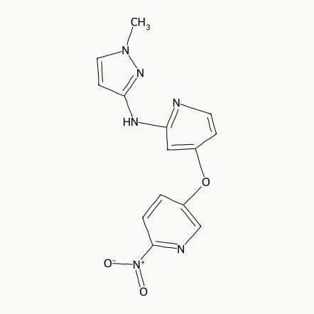 Cn1ccc(Nc2cc(Oc3ccc([N+](=O)[O-])nc3)ccn2)n1